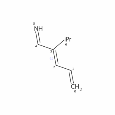 C=C/C=C(/C=N)C(C)C